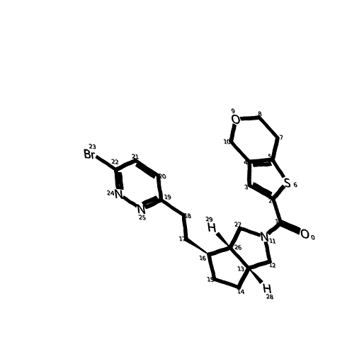 O=C(c1cc2c(s1)CCOC2)N1C[C@@H]2CC[C@@H](CCc3ccc(Br)nn3)[C@@H]2C1